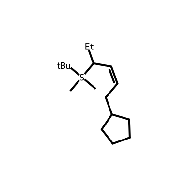 CCC(/C=C\CC1CCCC1)S(C)(C)C(C)(C)C